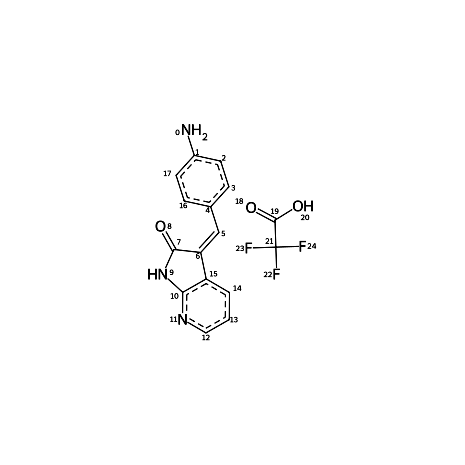 Nc1ccc(C=C2C(=O)Nc3ncccc32)cc1.O=C(O)C(F)(F)F